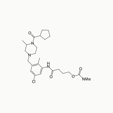 CNC(=O)OCCCC(=O)Nc1cc(Cl)cc(CN2CCN(C(=O)C3CCCC3)C(C)C2)c1C